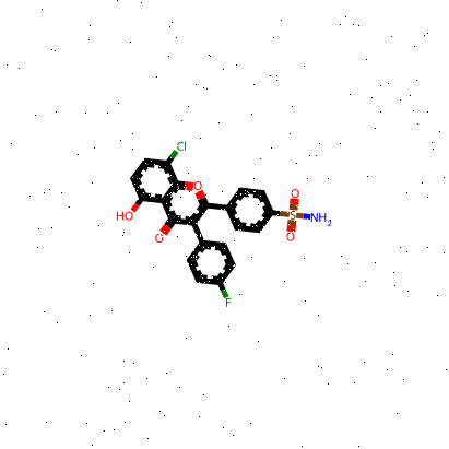 NS(=O)(=O)c1ccc(-c2oc3c(Cl)ccc(O)c3c(=O)c2-c2ccc(F)cc2)cc1